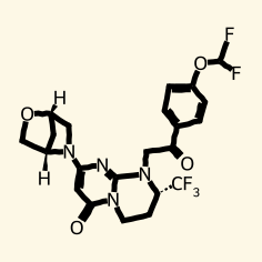 O=C(CN1c2nc(N3C[C@@H]4C[C@H]3CO4)cc(=O)n2CC[C@H]1C(F)(F)F)c1ccc(OC(F)F)cc1